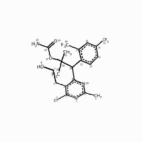 Cc1nc(Cl)c(CCO)c(C(c2ccc(C(F)(F)F)cc2C(F)(F)F)C(C)(C)OC(N)=O)n1